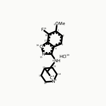 COc1ccc2c(NC3CN4CCC3CC4)noc2c1F.Cl